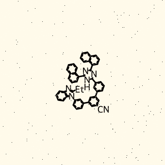 CCc1nc2ccccc2n1-c1cccc(-c2cc(C#N)cc(-c3cccc(C4N=C(c5cccc6ccccc56)N=C(c5cccc6ccccc56)N4)c3)c2)c1